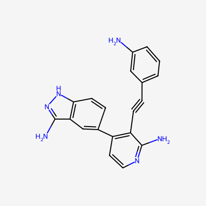 Nc1cccc(C#Cc2c(-c3ccc4[nH]nc(N)c4c3)ccnc2N)c1